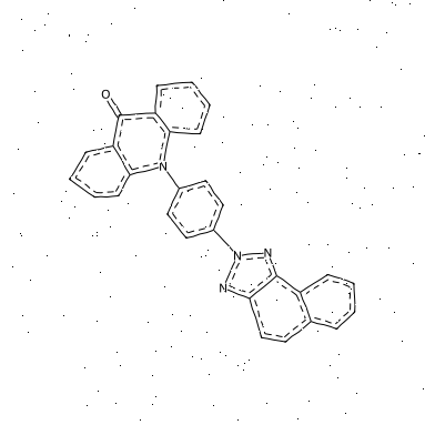 O=c1c2ccccc2n(-c2ccc(-n3nc4ccc5ccccc5c4n3)cc2)c2ccccc12